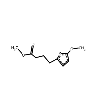 COC(=O)CCCc1ccc(OC)s1